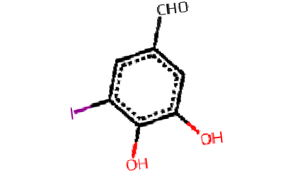 O=Cc1cc(O)c(O)c(I)c1